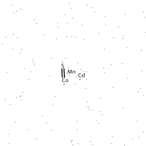 [Cd].[Mn].[S]=[Co]